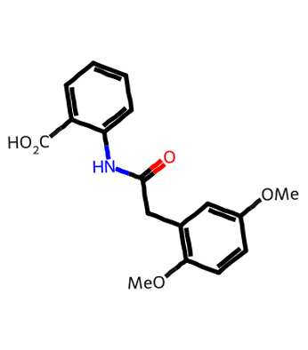 COc1ccc(OC)c(CC(=O)Nc2ccccc2C(=O)O)c1